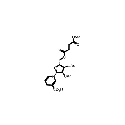 COC(=O)CCC(=O)OC[C@H]1O[C@@H](N2C=CCC(C(=O)O)=C2)[C@H](OC(C)=O)[C@@H]1OC(C)=O